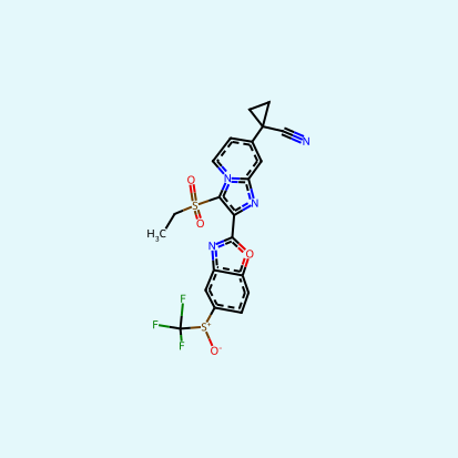 CCS(=O)(=O)c1c(-c2nc3cc([S+]([O-])C(F)(F)F)ccc3o2)nc2cc(C3(C#N)CC3)ccn12